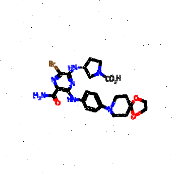 NC(=O)c1nc(Br)c(N[C@@H]2CCN(C(=O)O)C2)nc1Nc1ccc(N2CCC3(CC2)OCCO3)cc1